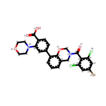 O=C(O)c1ccc(-c2cccc3c2OCN(C(=O)c2c(Cl)cc(Br)cc2Cl)C3)cc1N1CCOCC1